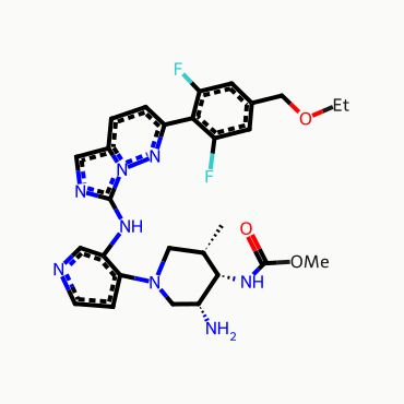 CCOCc1cc(F)c(-c2ccc3cnc(Nc4cnccc4N4C[C@@H](N)[C@@H](NC(=O)OC)[C@@H](C)C4)n3n2)c(F)c1